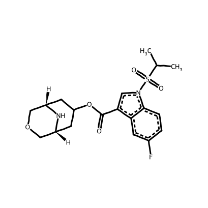 CC(C)S(=O)(=O)n1cc(C(=O)OC2C[C@H]3COC[C@@H](C2)N3)c2cc(F)ccc21